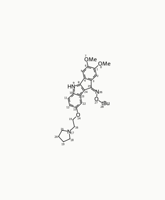 COc1cc2c(cc1OC)-c1[nH]c3ccc(OCCN4CCCC4)cc3c1C2=NOC(C)(C)C